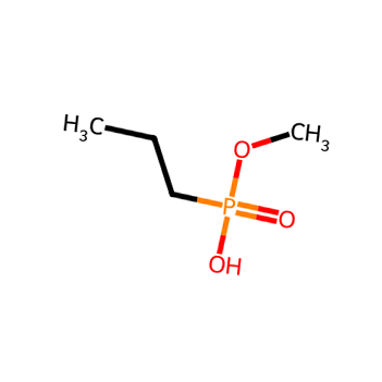 CCCP(=O)(O)OC